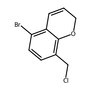 ClCc1ccc(Br)c2c1OCC=C2